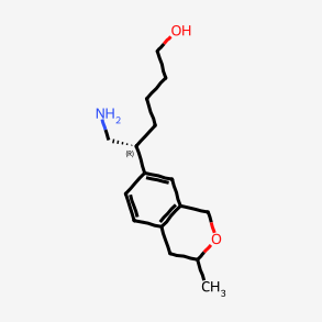 CC1Cc2ccc([C@H](CN)CCCCO)cc2CO1